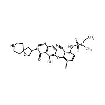 CCN(C)S(=O)(=O)Nc1ccc(F)c(Oc2ccc3ncn([C@H]4COC5(CCNCC5)C4)c(=O)c3c2O)c1C#N